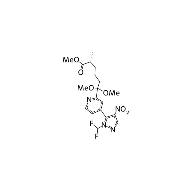 COC(=O)[C@H](C)CCCC(OC)(OC)c1cc(-c2c([N+](=O)[O-])cnn2C(F)F)ccn1